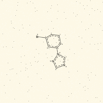 Brc1cccc(-n2cncn2)c1